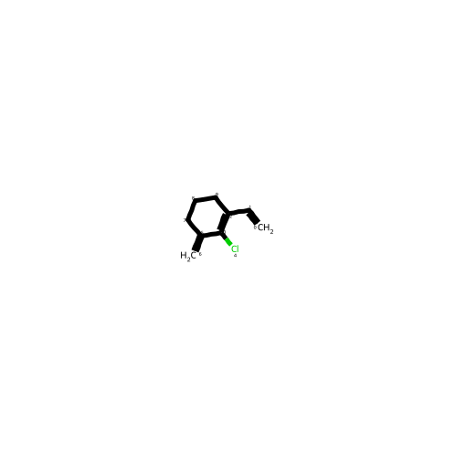 C=CC1=C(Cl)C(=C)CCC1